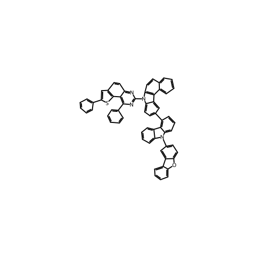 c1ccc(-c2cc3ccc4nc(-n5c6ccc(-c7cccc8c7c7ccccc7n8-c7ccc8oc9ccccc9c8c7)cc6c6c7ccccc7ccc65)nc(-c5ccccc5)c4c3s2)cc1